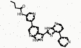 CCCC(=O)Nc1cncc(-c2cnc3[nH]nc(-c4nc5c(-c6cccnc6)ccnc5[nH]4)c3c2)c1